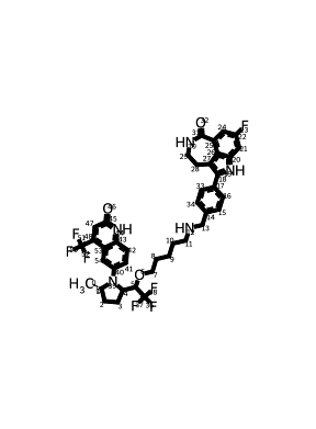 C[C@H]1CCC(C(OCCCCCNCc2ccc(-c3[nH]c4cc(F)cc5c4c3CCNC5=O)cc2)C(F)(F)F)N1c1ccc2[nH]c(=O)cc(C(F)(F)F)c2c1